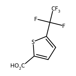 O=C(O)c1ccc(C(F)(F)C(F)(F)F)s1